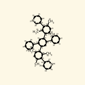 Cc1cc(C)c(-c2cc(-c3ccccc3)c(-c3c(C)cc(C)c(-c4cccnc4)c3C)cc2-c2ccccc2)c(C)c1-c1cccnc1